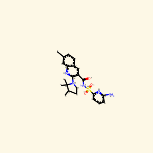 Cc1ccc2cc(C(=O)NS(=O)(=O)c3cccc(N)n3)c(N3CCC(C)C3(C)C)nc2c1